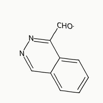 O=[C]c1nncc2ccccc12